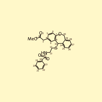 COC(=O)Cc1ccc2c(c1)C(SCCNS(=O)(=O)c1ccccc1)c1ccccc1CO2